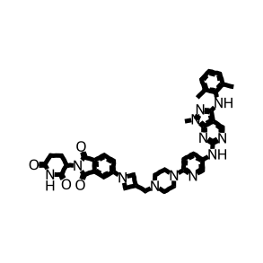 Cc1cccc(C)c1Nc1nn(C)c2nc(Nc3ccc(N4CCN(CC5CN(c6ccc7c(c6)C(=O)N(C6CCC(=O)NC6=O)C7=O)C5)CC4)nc3)ncc12